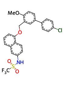 COc1ccc(-c2ccc(Cl)cc2)cc1COc1cccc2cc(NS(=O)(=O)C(F)(F)F)ccc12